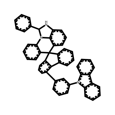 c1ccc(C2Nc3cccc4c3N2c2ccccc2C42c3ccccc3-c3c(-c4cccc(-n5c6ccccc6c6ccccc65)c4)cccc32)cc1